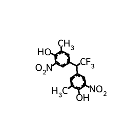 Cc1cc(C(c2cc(C)c(O)c([N+](=O)[O-])c2)C(F)(F)F)cc([N+](=O)[O-])c1O